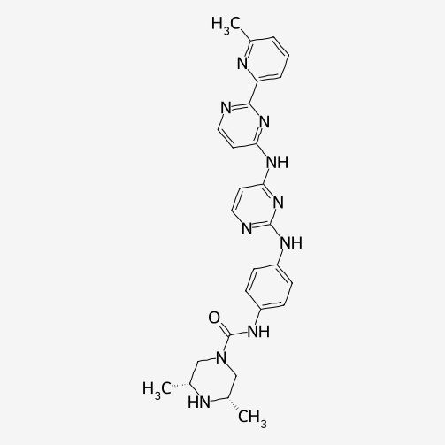 Cc1cccc(-c2nccc(Nc3ccnc(Nc4ccc(NC(=O)N5C[C@@H](C)N[C@@H](C)C5)cc4)n3)n2)n1